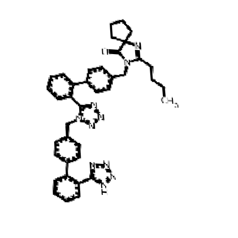 CCCCC1=NC2(CCCC2)C(=O)N1Cc1ccc(-c2ccccc2-c2nnnn2Cc2ccc(-c3ccccc3-c3nnn[nH]3)cc2)cc1